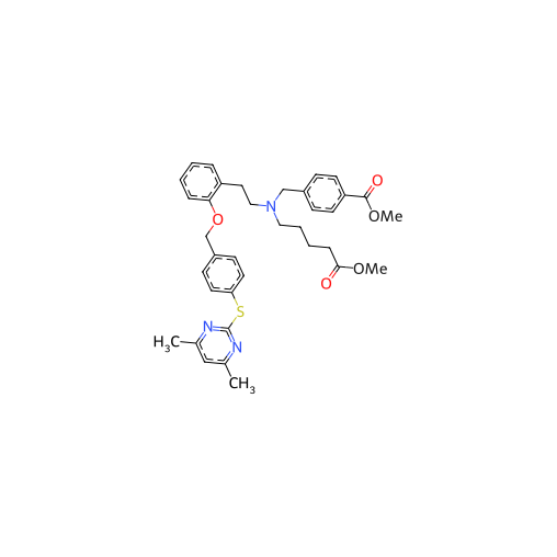 COC(=O)CCCCN(CCc1ccccc1OCc1ccc(Sc2nc(C)cc(C)n2)cc1)Cc1ccc(C(=O)OC)cc1